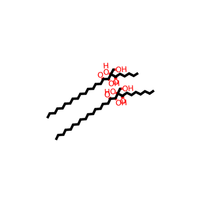 CCCCCCCCCCCCCCCC(=O)C(O)C(O)(CO)C(=O)CCCCC.CCCCCCCCCCCCCCCC(=O)C(O)C(O)(CO)C(=O)CCCCCCC